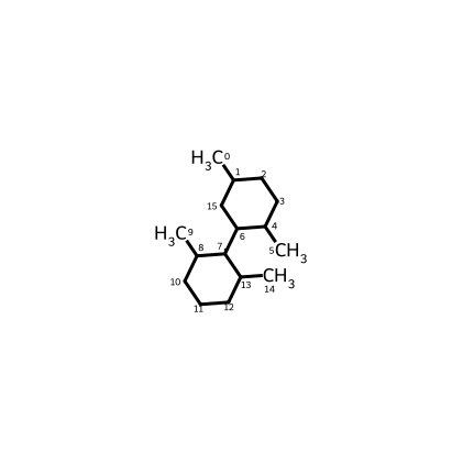 CC1CCC(C)C([C]2C(C)CCCC2C)C1